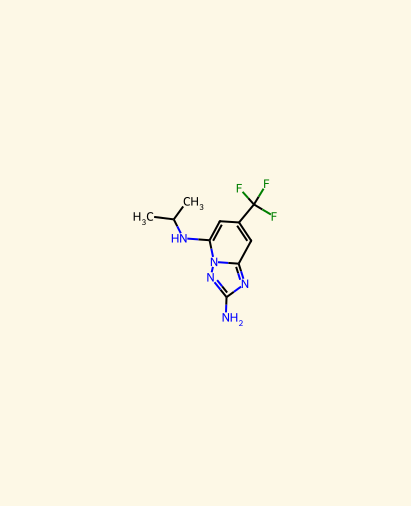 CC(C)Nc1cc(C(F)(F)F)cc2nc(N)nn12